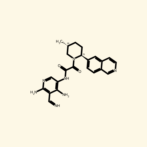 C[C@@H]1CC[C@@H](c2ccc3cnccc3c2)N(C(=O)C(=O)Nc2cnc(N)c(C=N)c2N)C1